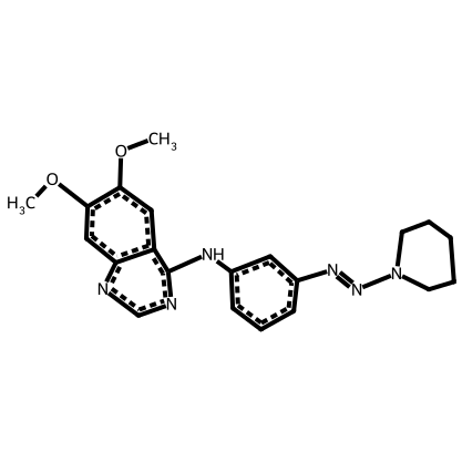 COc1cc2ncnc(Nc3cccc(N=NN4CCCCC4)c3)c2cc1OC